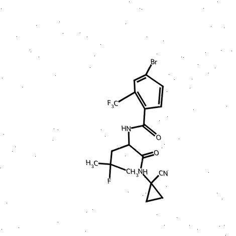 CC(C)(F)CC(NC(=O)c1ccc(Br)cc1C(F)(F)F)C(=O)NC1(C#N)CC1